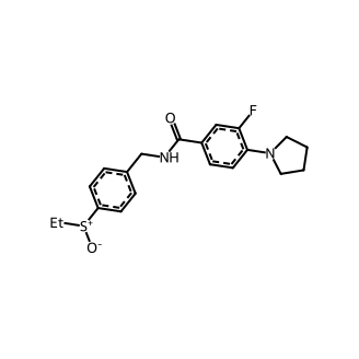 CC[S+]([O-])c1ccc(CNC(=O)c2ccc(N3CCCC3)c(F)c2)cc1